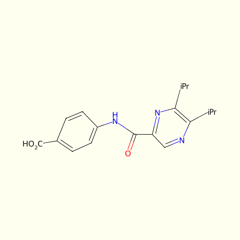 CC(C)c1ncc(C(=O)Nc2ccc(C(=O)O)cc2)nc1C(C)C